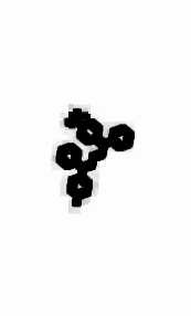 Cc1ccc(C(=CC=CC(=C2C=CC(=[N+](C)C)C=C2)c2ccccc2)c2ccccc2)cc1